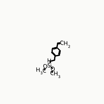 C=Cc1ccc(CC[SiH](OC)OC)cc1